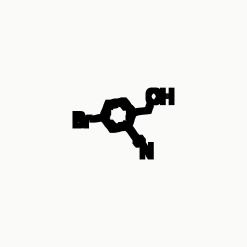 N#Cc1cc(Br)ccc1CO